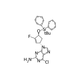 CC(C)(C)[Si](O[C@H]1C[C@H](n2cnc3c(Cl)nc(N)nc32)C=C1F)(c1ccccc1)c1ccccc1